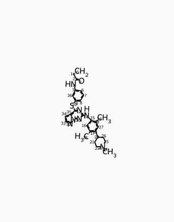 C=CC(=O)Nc1cccc(Sc2nc(Nc3cc(C)c(C4CCN(C)CC4)cc3C)nn3nccc23)c1